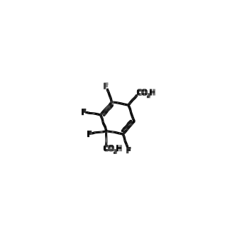 O=C(O)C1C=C(F)C(F)(C(=O)O)C(F)=C1F